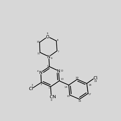 N#Cc1c(Cl)nc(N2CCOCC2)nc1-c1cccc(Cl)c1